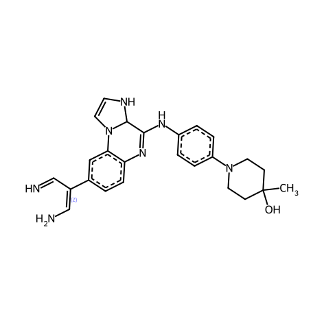 CC1(O)CCN(c2ccc(NC3=Nc4ccc(/C(C=N)=C/N)cc4N4C=CNC34)cc2)CC1